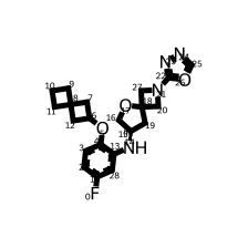 Fc1ccc(OC2CC3(CCC3)C2)c(N[C@H]2COC3(C2)CN(c2nnco2)C3)c1